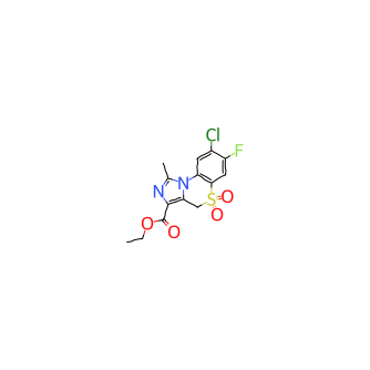 CCOC(=O)c1nc(C)n2c1CS(=O)(=O)c1cc(F)c(Cl)cc1-2